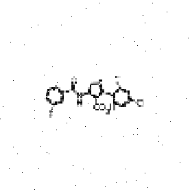 O=C(Nc1csc(-c2ccc(Cl)cc2Cl)c1C(=O)O)c1cccc(F)c1